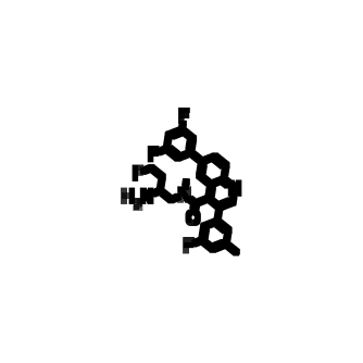 Cc1cc(F)cc(-c2cnc3ccc(-c4cc(F)cc(F)c4)cc3c2C(=O)N(C)CC(N)CCF)c1